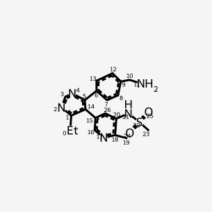 CCc1ncnc(-c2ccc(CN)cc2)c1-c1cnc(C)c(NS(C)(=O)=O)c1